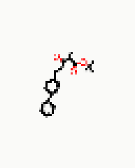 CC(C(=O)CCc1ccc(-c2ccccc2)cc1)C(=O)OC(C)(C)C